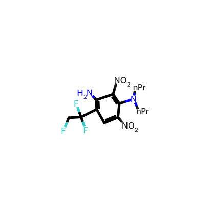 CCCN(CCC)c1c([N+](=O)[O-])cc(C(F)(F)CF)c(N)c1[N+](=O)[O-]